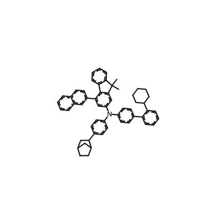 CC1(C)c2ccccc2-c2c(-c3ccc4ccccc4c3)cc(N(c3ccc(-c4ccccc4C4CCCCC4)cc3)c3ccc(C4CC5CCC4C5)cc3)cc21